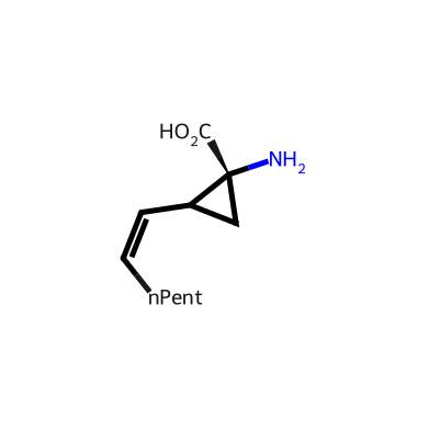 CCCCC/C=C\C1C[C@]1(N)C(=O)O